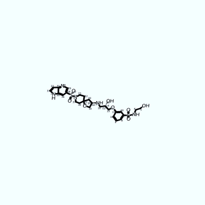 O=S(=O)(NCCO)c1cccc(OC[C@@H](O)CN[C@H]2COC3(CCN(S(=O)(=O)c4cnc5cc[nH]c5c4)CC3)C2)c1